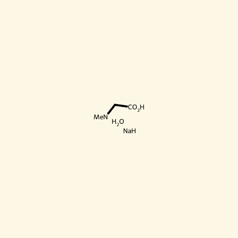 CNCC(=O)O.O.[NaH]